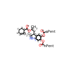 CCCCCC(=O)Oc1ccc(C(CC(C)OC(=O)C2CCCCC2)[C@H](N)C(=O)O)cc1OC(=O)CCCCC